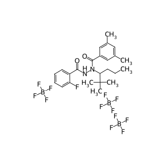 CCCC(N(NC(=O)c1ccccc1F)C(=O)c1cc(C)cc(C)c1)C(C)(C)C.F[B-](F)(F)F.F[B-](F)(F)F.F[B-](F)(F)F